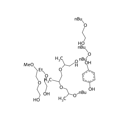 CCCCOC(C)COC(C)COC(C)CO.CCCCOCCCC.CCCCOCCO.CCOCCO.COCCOCCO.Oc1ccc(O)cc1